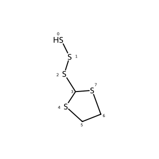 SSSC1SCCS1